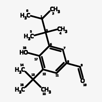 CC(C)C(C)(C)c1cc(C=O)cc(C(C)(C)C)c1O